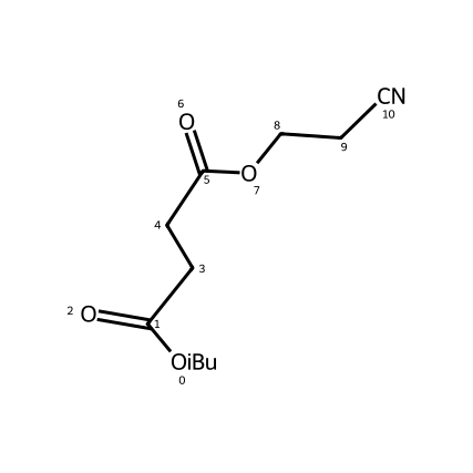 CC(C)COC(=O)CCC(=O)OCCC#N